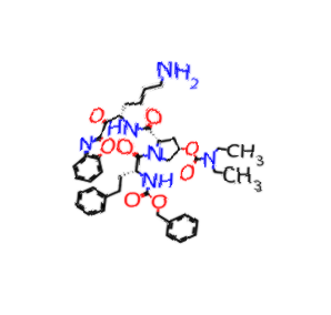 CCN(CC)C(=O)O[C@@H]1C[C@@H](C(=O)N[C@@H](CCCCN)C(=O)c2nc3ccccc3o2)N(C(=O)[C@@H](CCc2ccccc2)NC(=O)OCc2ccccc2)C1